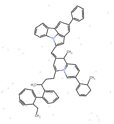 CCC1C#CC=CC=C1c1ccccc1C(C)CCC1=C/C(=C/c2cc3cc(-c4ccccc4)cc4c5ccccc5n2c34)C(C)c2ccc(C3=CC=CCC3C)c[n+]21